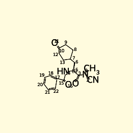 CN(C#N)C(=O)[C@H](CC1CCC(=O)CC1)NC(=O)c1ccccc1